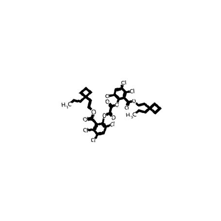 CCCC1(CCOC(=O)c2c(Cl)c(Cl)cc(Cl)c2OC(=O)C(=O)Oc2c(Cl)cc(Cl)c(Cl)c2C(=O)OCCC2(CCC)CCC2)CCC1